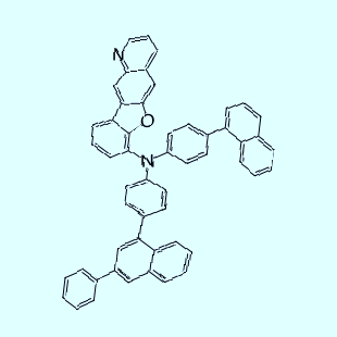 c1ccc(-c2cc(-c3ccc(N(c4ccc(-c5cccc6ccccc56)cc4)c4cccc5c4oc4cc6cccnc6cc45)cc3)c3ccccc3c2)cc1